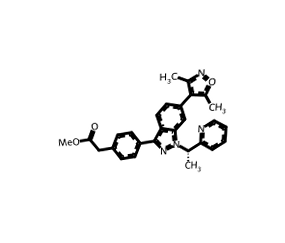 COC(=O)Cc1ccc(-c2nn([C@@H](C)c3ccccn3)c3cc(-c4c(C)noc4C)ccc23)cc1